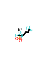 O=S(=O)([O-])C(F)(F)C(F)(F)CCCC(F)(F)F.[K+]